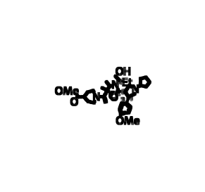 C=C(N1CCC(C(=O)OC)CC1)C(C)(C(C)N(C(=O)[C@@H]1CN(C2CCCC2)C[C@H]1c1ccc(OC)cc1)[C@@H](CC)CO)C(F)(F)F